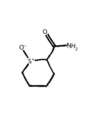 NC(=O)C1C[CH]CC[S+]1[O-]